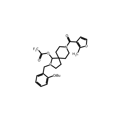 Cc1occc1C(=O)N1CCC2(CC1)CCN(Cc1ccccc1OCC(C)C)C2OC(=O)C(F)(F)F